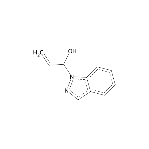 C=CC(O)n1ncc2ccccc21